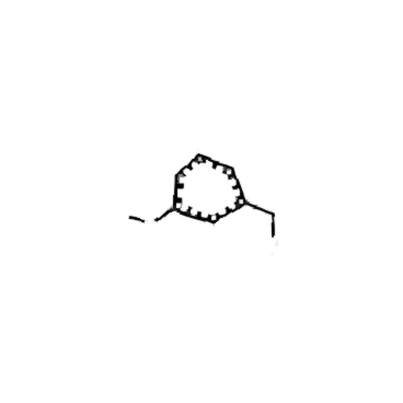 CPc1cccc(CN)c1